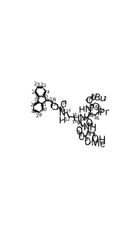 COC(=O)[C@H](CO)NC(=O)[C@H](CCCCNC(=O)OCC1c2ccccc2-c2ccccc21)NC(=O)[C@H](CC(C)C)NC(=O)OC(C)(C)C